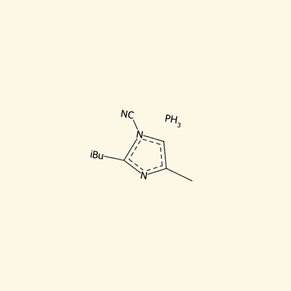 CCC(C)c1nc(C)cn1C#N.P